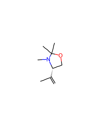 C=C(C)[C@H]1COC(C)(C)N1C